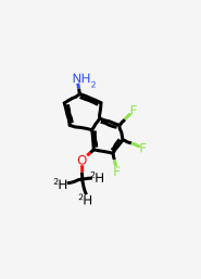 [2H]C([2H])([2H])Oc1c(F)c(F)c(F)c2cc(N)ccc12